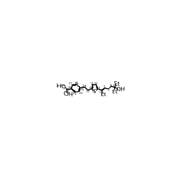 CCC(=CCCC(O)(CC)CC)c1ccc(CCc2ccc(C(O)O)cc2)s1